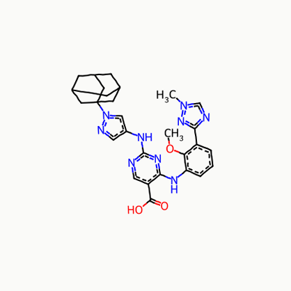 COc1c(Nc2nc(Nc3cnn(C45CC6CC(CC(C6)C4)C5)c3)ncc2C(=O)O)cccc1-c1ncn(C)n1